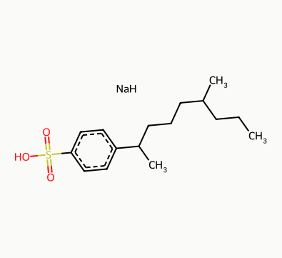 CCCC(C)CCCC(C)c1ccc(S(=O)(=O)O)cc1.[NaH]